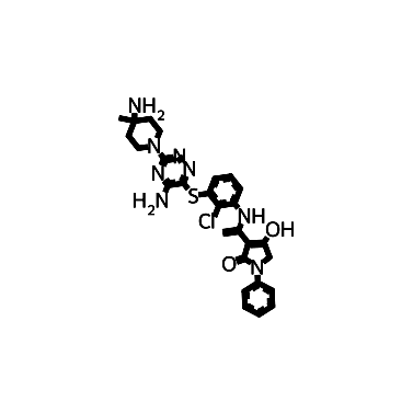 C=C(Nc1cccc(Sc2nnc(N3CCC(C)(N)CC3)nc2N)c1Cl)C1=C(O)CN(c2ccccc2)C1=O